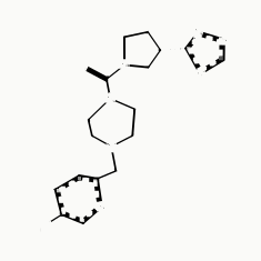 O=C(N1CCN(Cc2ccc(C(F)(F)F)cn2)CC1)N1CC[C@H](c2nnc[nH]2)C1